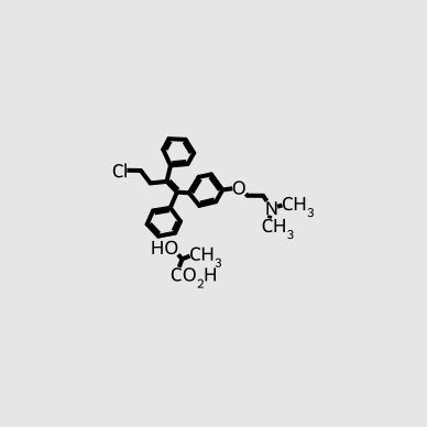 CC(O)C(=O)O.CN(C)CCOc1ccc(/C(=C(/CCCl)c2ccccc2)c2ccccc2)cc1